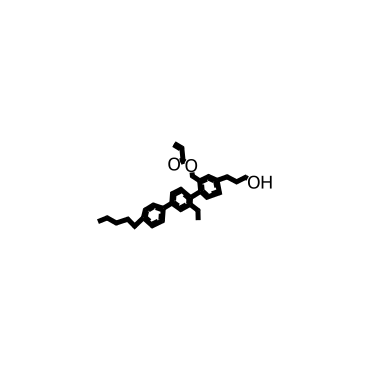 C=CC(=O)OCc1cc(CCCO)ccc1-c1ccc(-c2ccc(CCCCC)cc2)cc1CC